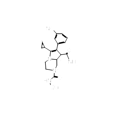 CC(C)(C)NC(=O)N1CCN2C(C3CC3)=C(c3cccc(C#N)c3)C(C(N)=O)C2C1